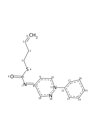 C=CCCSC(=O)N=c1ccn(-c2ccccc2)nc1